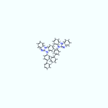 c1ccc(-c2ccc(-n3c4ccc(-c5cccc6c5n(-c5ccc(-c7ccccc7)cc5)c5nc7ccccc7n65)cc4n4c5ccccc5nc34)cc2)cc1